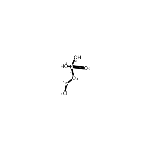 O=P(O)(O)OSCl